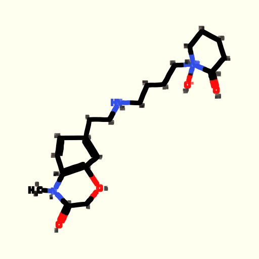 CN1C(=O)COc2cc(CCNCCCC[N+]3([O-])CCCCC3=O)ccc21